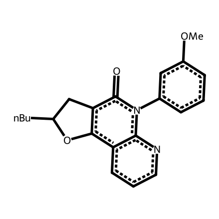 CCCCC1Cc2c(c3cccnc3n(-c3cccc(OC)c3)c2=O)O1